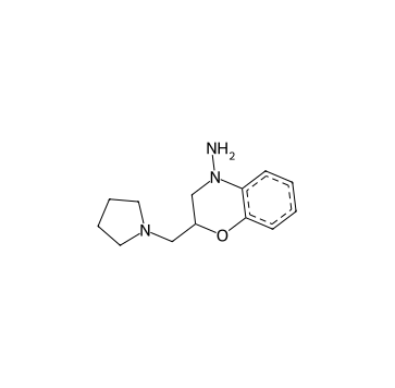 NN1CC(CN2CCCC2)Oc2ccccc21